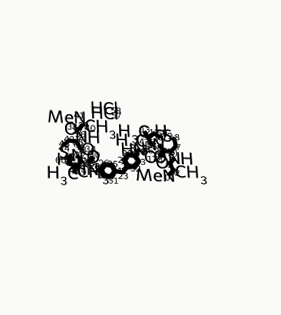 CNC(C)C(=O)N[C@H]1CCS[C@H]2CC(C)(C)[C@@H](C(=O)Nc3ccc(Cc4ccc(NC(=O)[C@H]5N6C(=O)[C@@H](NC(=O)C(C)NC)CCS[C@H]6CC5(C)C)cc4)cc3)N2C1=O.Cl.Cl